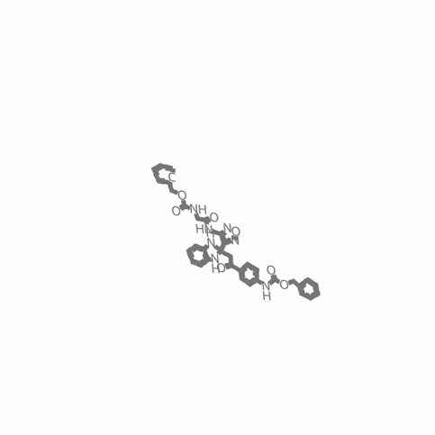 O=C(CNC(=O)OCc1ccccc1)Nc1nonc1C1(CC(=O)c2ccc(NC(=O)OCc3ccccc3)cc2)Nc2ccccc2N1